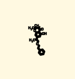 CC(COCCc1ccccc1)c1cc(O)c2c(c1)OC(C)(C)CC2=O